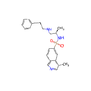 Cc1cncc2ccc(S(=O)(=O)N[C@H](C)CNCCc3ccccc3)cc12